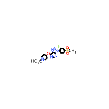 CS(=O)(=O)c1ccc(-n2nnc3c(OC4CCN(C(=O)O)CC4)ncnc32)c(F)c1